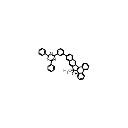 CC1(C)c2cc3cc(-c4cccc(-c5nc(-c6ccccc6)nc(-c6ccccc6)n5)c4)ccc3cc2-c2c1c1ccccc1c1ccccc21